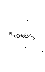 CN(C)CCSc1ccc(SSc2ccc(SCCN(C)C)cc2)cc1